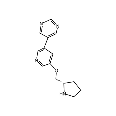 c1ncc(-c2cncc(OC[C@@H]3CCCN3)c2)cn1